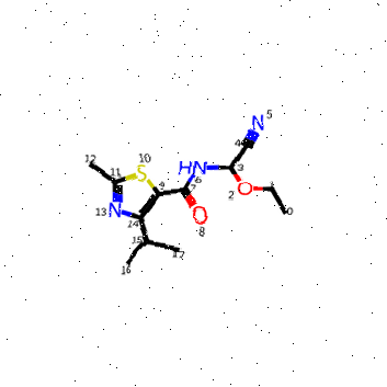 CCOC(C#N)NC(=O)c1sc(C)nc1C(C)C